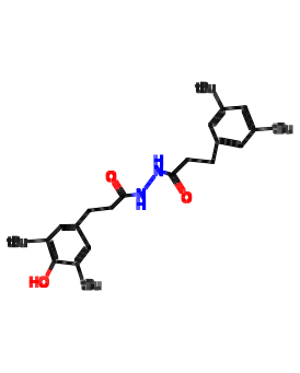 CC(C)(C)c1cc(CCC(=O)NNC(=O)CCc2cc(C(C)(C)C)c(O)c(C(C)(C)C)c2)cc(C(C)(C)C)c1